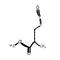 COC(=O)C(C)CN=C=O